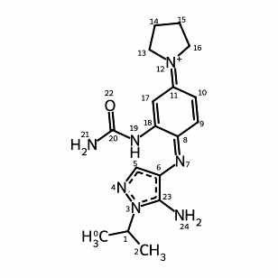 CC(C)n1ncc(/N=C2/C=CC(=[N+]3CCCC3)C=C2NC(N)=O)c1N